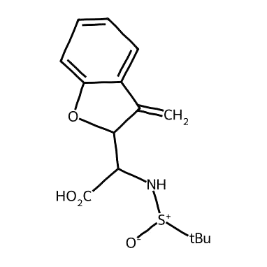 C=C1c2ccccc2OC1C(N[S+]([O-])C(C)(C)C)C(=O)O